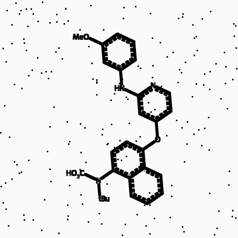 COc1cccc(Nc2cc(Oc3ccc(N(C(=O)O)C(C)(C)C)c4ccccc34)ccn2)c1